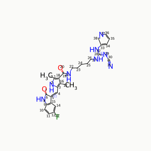 Cc1[nH]c(/C=C2\C(=O)Nc3ccc(F)cc32)c(C)c1C(=O)NCCCCCN/C(=N\C#N)Nc1cccnc1